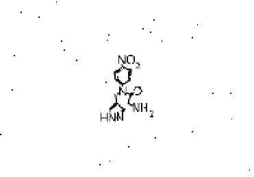 NCC(=O)N(Cc1cn[nH]c1)c1ccc([N+](=O)[O-])cc1